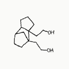 OCCC12CCC(C1)C1CCCC12CCO